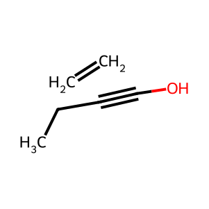 C=C.CCC#CO